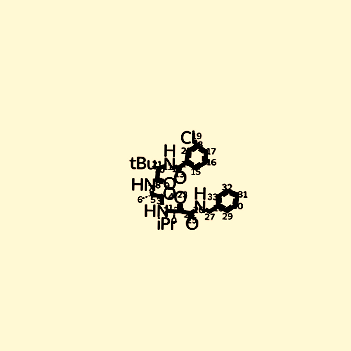 CC(C)[C@H](NC(=O)[C@H](C)NC(=O)[C@@H](NC(=O)c1cccc(Cl)c1)C(C)(C)C)C(=O)C(=O)NCc1ccccc1